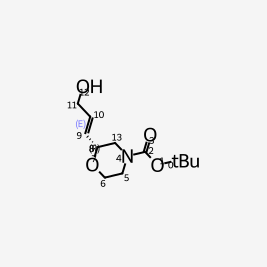 CC(C)(C)OC(=O)N1CCO[C@H](/C=C/CO)C1